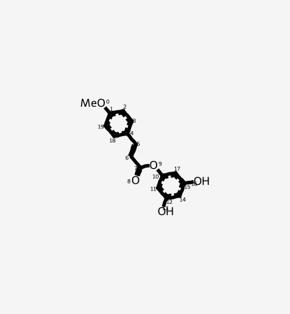 COc1ccc(C=CC(=O)Oc2cc(O)cc(O)c2)cc1